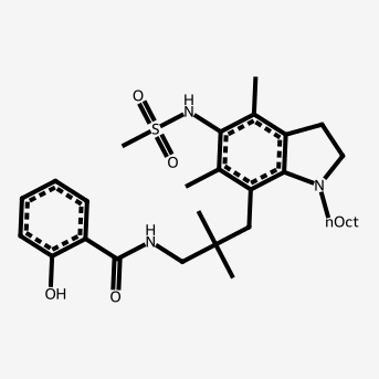 CCCCCCCCN1CCc2c(C)c(NS(C)(=O)=O)c(C)c(CC(C)(C)CNC(=O)c3ccccc3O)c21